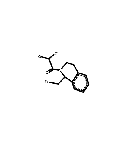 CC(C)CC1c2ccccc2CCN1C(=O)C(Cl)Cl